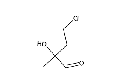 CC(O)(C=O)CCCl